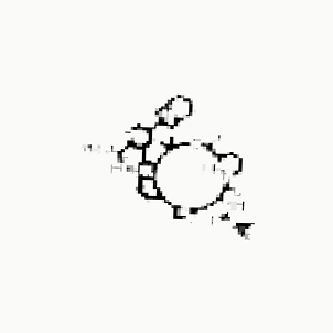 CCn1c(-c2cc(C3CC4CCCC(C3)N4C)cnc2[C@H](C)OC)c2c3cc(ccc31)-c1csc(n1)C[C@H](NC(=O)[C@H]1C[C@@H]1C)C(=O)N1CCC[C@H](N1)C(=O)OCC(C)(C)C2